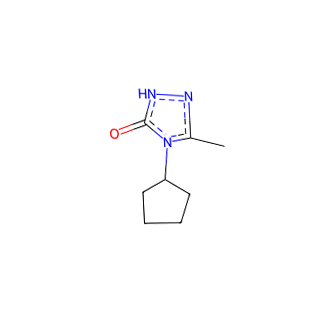 Cc1n[nH]c(=O)n1C1CCCC1